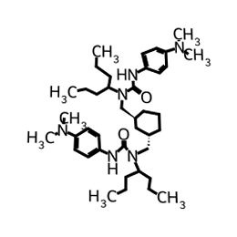 CCCC(CCC)N(C[C@H]1CCC[C@H](CN(C(=O)Nc2ccc(N(C)C)cc2)C(CCC)CCC)C1)C(=O)Nc1ccc(N(C)C)cc1